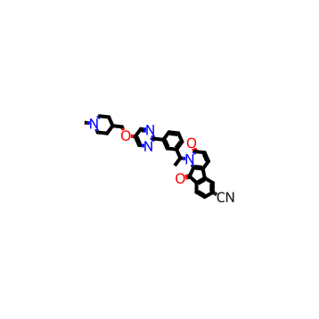 CC(c1cccc(-c2ncc(OCC3CCN(C)CC3)cn2)c1)n1c2c(ccc1=O)-c1cc(C#N)ccc1C2=O